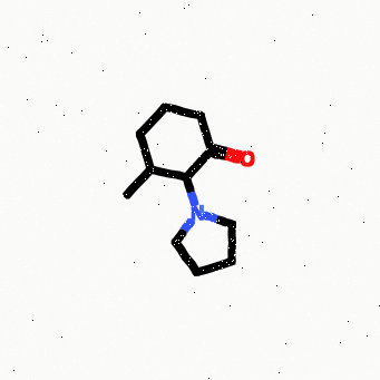 CC1CCCC(=O)C1N1CCCC1